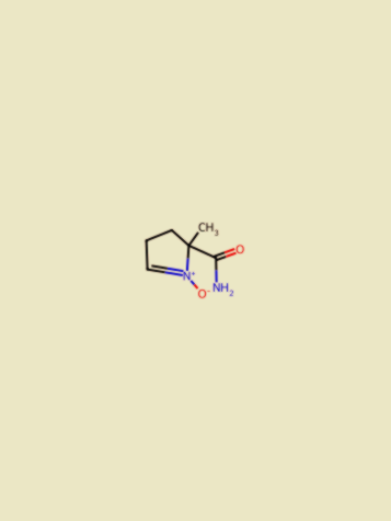 CC1(C(N)=O)CCC=[N+]1[O-]